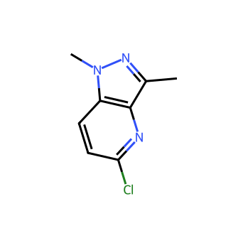 Cc1nn(C)c2ccc(Cl)nc12